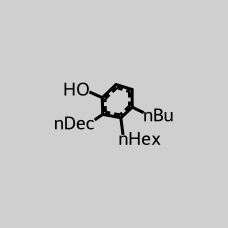 CCCCCCCCCCc1c(O)ccc(CCCC)c1CCCCCC